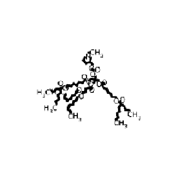 CC/C=C\CCCCOC(CCC(=O)OCC(COC(=O)CCCCCCOC(=O)C(CCCC)CCCCCC)(COC(=O)CCCCCCOC(=O)C(CCCC)CCCCCC)COC(=O)OCC1CCCN(CC)C1)OCCCC/C=C\CC